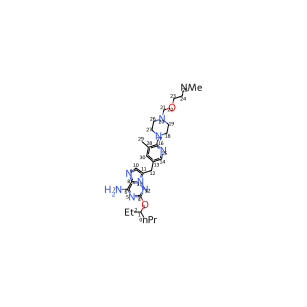 CCCC(CC)Oc1nc(N)c2ncc(Cc3cnc(N4CCN(COCCNC)CC4)c(C)c3)n2n1